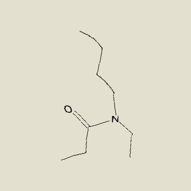 CCCCN(CC)C(=O)CC